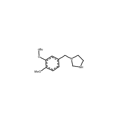 CCCCOc1cc(CN2CCNC2)ccc1OC